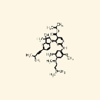 COc1cc(N(C)CCN(C)C)c(N)cc1Nc1ncc(C(=O)OC(C)C)c(N2CC(C)(C)c3nc(C#CC(C)C)ccc32)n1